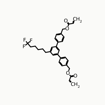 C=CC(=O)OCc1ccc(-c2cc(CCCCCC(F)(F)F)cc(-c3ccc(COC(=O)C=C)cc3)c2)cc1